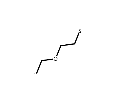 [CH2]COCC[S]